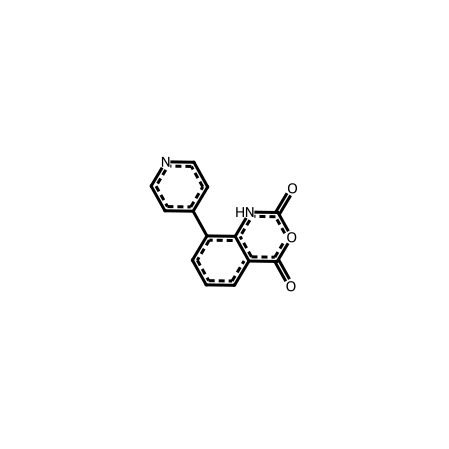 O=c1[nH]c2c(-c3ccncc3)cccc2c(=O)o1